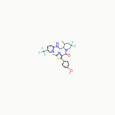 COc1ccc(-c2sc(C)nc2C(=O)N2CC(F)(F)CC(C)C2CNc2ccc(C(F)(F)F)cn2)cc1